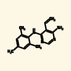 C=Cc1c(N)ncnc1Nc1c(C)cc(C)cc1C